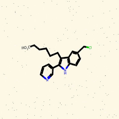 O=C(O)CCCCCc1c(-c2cccnc2)[nH]c2ccc(CCl)cc12